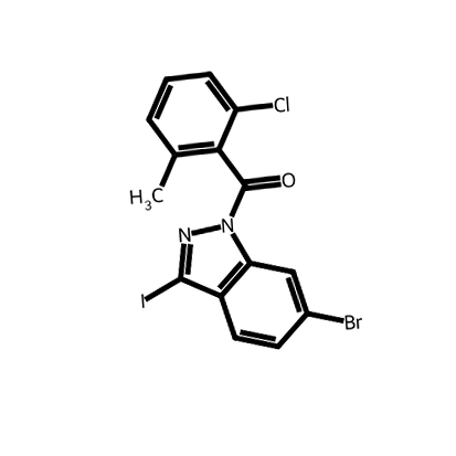 Cc1cccc(Cl)c1C(=O)n1nc(I)c2ccc(Br)cc21